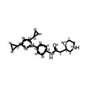 O=C(CC1CNCCO1)Nc1ccc(-n2nc(C3CC3)cc2C2CC2)cc1